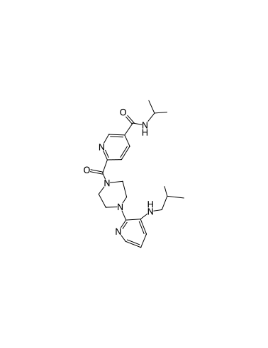 CC(C)CNc1cccnc1N1CCN(C(=O)c2ccc(C(=O)NC(C)C)cn2)CC1